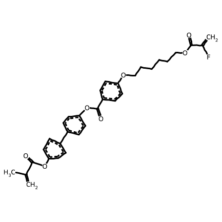 C=C(C)C(=O)Oc1ccc(-c2ccc(OC(=O)c3ccc(OCCCCCCOC(=O)C(=C)F)cc3)cc2)cc1